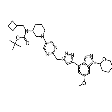 COc1cc(-c2cn(Cc3ncc(N4CCCC(N(CC5CCC5)C(=O)OC(C)(C)C)C4)cn3)nn2)c2cnn(C3CCCCO3)c2c1